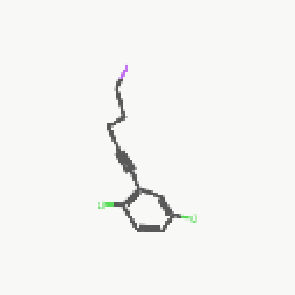 Clc1ccc(Cl)c(C#CCCCI)c1